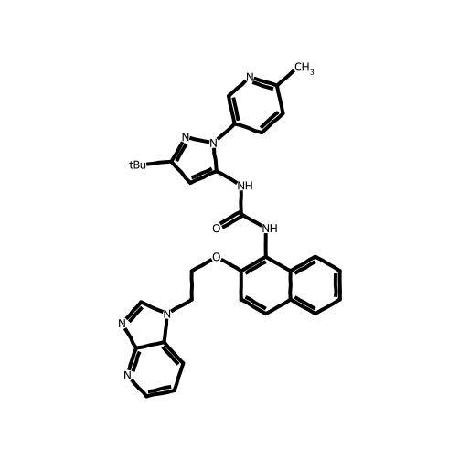 Cc1ccc(-n2nc(C(C)(C)C)cc2NC(=O)Nc2c(OCCn3cnc4ncccc43)ccc3ccccc23)cn1